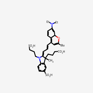 CCN(CC)C1=CC2OC(C(C)(C)C)=CC(C=CC=C3N(CCCS(=O)(=O)O)c4ccc(S(=O)(=O)O)cc4C3(C)CCCC(=O)O)=C2C=C1